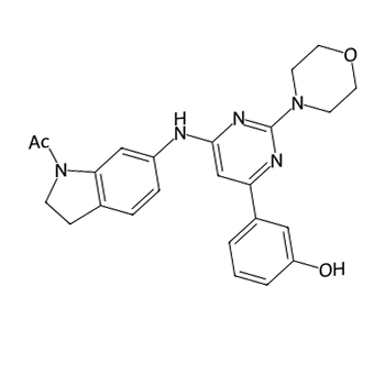 CC(=O)N1CCc2ccc(Nc3cc(-c4cccc(O)c4)nc(N4CCOCC4)n3)cc21